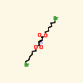 O=C(/C=C/C(=O)OCCCCCCBr)OCCCCCCBr